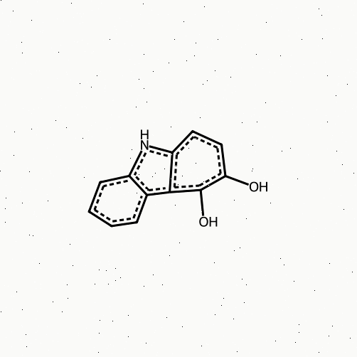 Oc1ccc2[nH]c3ccccc3c2c1O